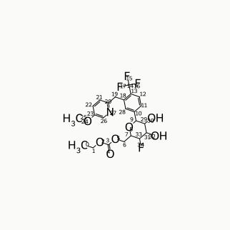 CCOC(=O)OCC1OC(c2ccc(C(F)(F)F)c(Cc3ccc(OC)cn3)c2)C(O)C(O)C1F